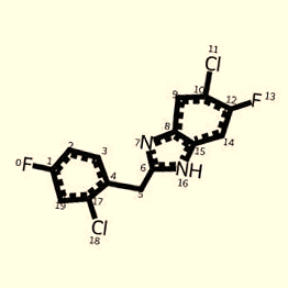 Fc1ccc(Cc2nc3cc(Cl)c(F)cc3[nH]2)c(Cl)c1